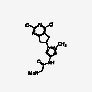 CNCC(=O)Nc1cn(C)[n+](C2Cc3nc(Cl)nc(Cl)c3C2)c1